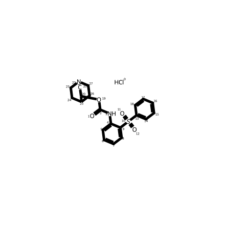 Cl.O=C(Nc1ccccc1S(=O)(=O)c1ccccc1)OC1CN2CCC1CC2